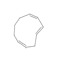 [C]1=C\CCC/C=C\C=C\C/1